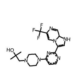 CC(C)(O)CN1CCN(c2ccnc(C3=CNC4C=NC(C(F)(F)F)=CN34)n2)CC1